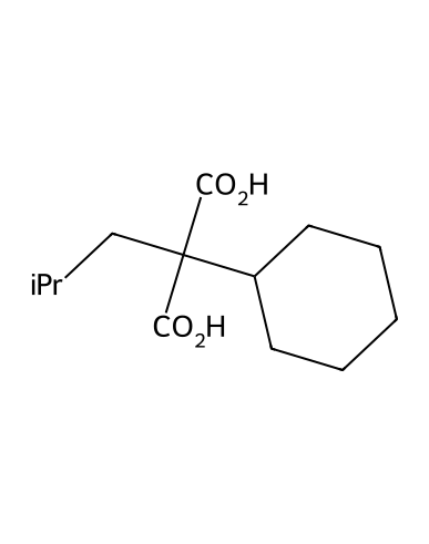 CC(C)CC(C(=O)O)(C(=O)O)C1CCCCC1